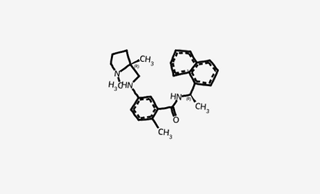 Cc1ccc(NC[C@@]2(C)CCCN2C)cc1C(=O)N[C@H](C)c1cccc2ccccc12